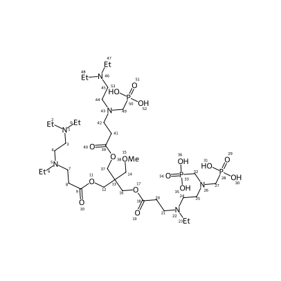 CCN(CC)CCN(CC)CCC(=O)OCC(COC)(COC(=O)CCN(CC)CCN(CP(=O)(O)O)CP(=O)(O)O)COC(=O)CCN(CCN(CC)CC)CP(=O)(O)O